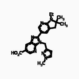 CCN1c2ncc(-c3nc4cc(C(=O)O)cnc4n3Cc3ccn(C)n3)cc2CC1(C)C